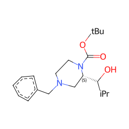 CC(C)C(O)[C@@H]1CN(Cc2ccccc2)CCN1C(=O)OC(C)(C)C